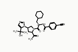 CC(C)(O)c1cnnn1C1CC(C(N)=O)N(C(=O)[C@@H](CC2CCCCC2)NC(=O)c2ccc(C#N)cc2)C1